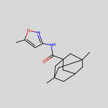 Cc1cc(NC(=O)C23CC4CC(C)(CC(C)(C4)C2)C3)no1